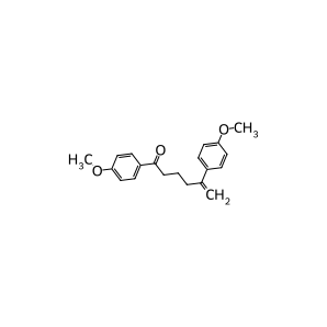 C=C(CCCC(=O)c1ccc(OC)cc1)c1ccc(OC)cc1